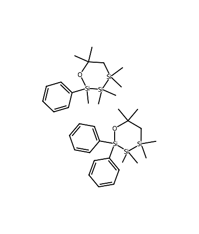 CC1(C)C[Si](C)(C)[Si](C)(C)[Si](C)(c2ccccc2)O1.CC1(C)C[Si](C)(C)[Si](C)(C)[Si](c2ccccc2)(c2ccccc2)O1